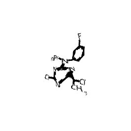 CCCN(c1cccc(F)c1)c1nc(Cl)nc(C(C)Cl)n1